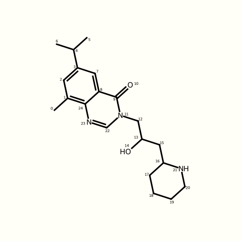 Cc1cc(C(C)C)cc2c(=O)n(CC(O)CC3CCCCN3)cnc12